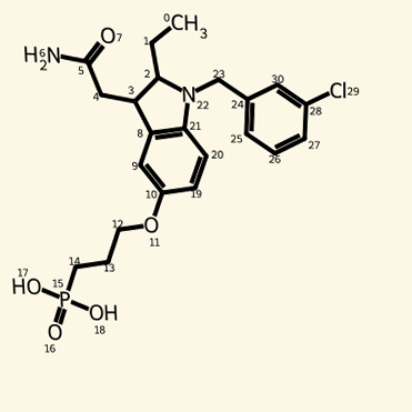 CCC1C(CC(N)=O)c2cc(OCCCP(=O)(O)O)ccc2N1Cc1cccc(Cl)c1